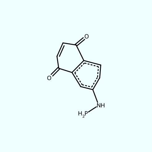 O=C1C=CC(=O)c2cc(NP)ccc21